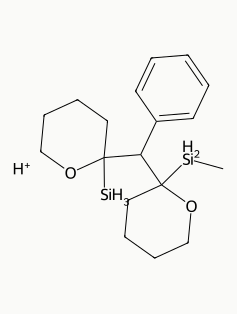 C[SiH2]C1(C(c2ccccc2)C2([SiH3])CCCCO2)CCCCO1.[H+]